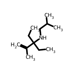 C=C(C)C(CC)(CC)NCC(C)C